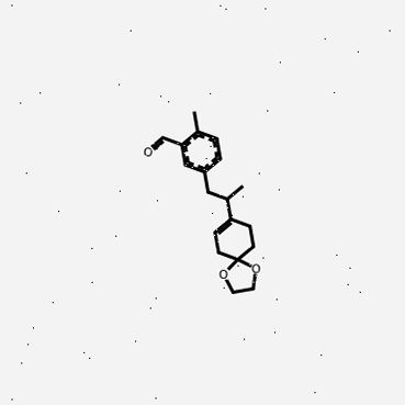 Cc1ccc(CC(C)C2=CCC3(CC2)OCCO3)cc1C=O